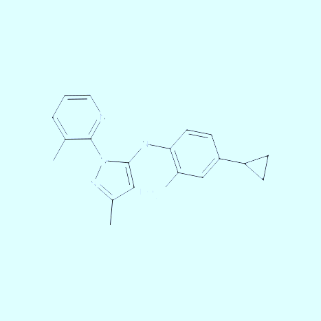 Cc1cc(Nc2ccc(C3CC3)cc2C(=O)O)n(-c2ncccc2C)n1